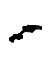 COc1ccc2cc3[n+](cc2c1OCCCCCCNC(=O)CC[C@@H](C)[C@H]1CC[C@H]2[C@@H]4[C@@H](O)CC5C[C@@H](O)CC[C@]5(C)[C@H]4CC[C@]12C)CCc1cc2c(cc1-3)OCO2